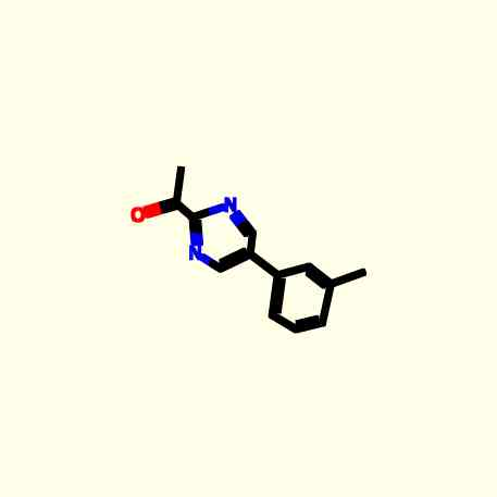 CC(=O)c1ncc(-c2cccc(C)c2)cn1